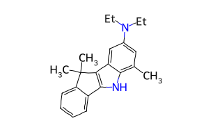 CCN(CC)c1cc(C)c2[nH]c3c(c2c1)C(C)(C)c1ccccc1-3